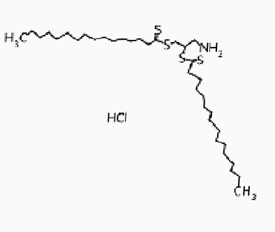 CCCCCCCCCCCCCCCC(=S)SCC(CN)SC(=S)CCCCCCCCCCCCCCC.Cl